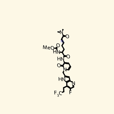 COC(=O)NC(CC/C=C/C(=O)N(C)C)C(=O)Nc1cccn(Cc2cc3ncc(F)c(CCC(F)(F)F)c3[nH]2)c1=O